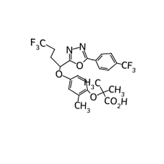 Cc1cc(OC(CCC(F)(F)F)c2nnc(-c3ccc(C(F)(F)F)cc3)o2)ccc1OC(C)(C)C(=O)O